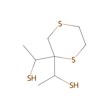 CC(S)C1(C(C)S)CSCCS1